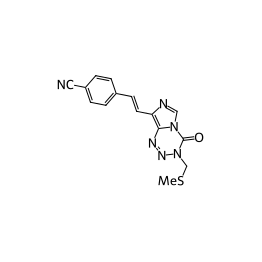 CSCn1nnc2c(C=Cc3ccc(C#N)cc3)ncn2c1=O